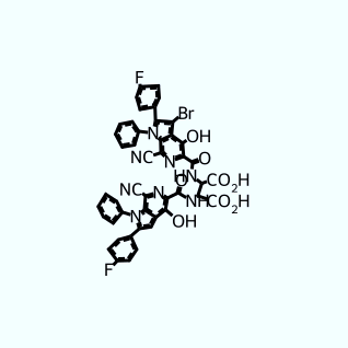 N#Cc1nc(C(=O)NC(C(=O)O)C(NC(=O)c2nc(C#N)c3c(c2O)c(Br)c(-c2ccc(F)cc2)n3-c2ccccc2)C(=O)O)c(O)c2cc(-c3ccc(F)cc3)n(-c3ccccc3)c12